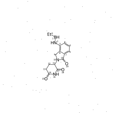 CCBNc1cccc2c1CN(C1CCC(=O)NC1=O)C2=O